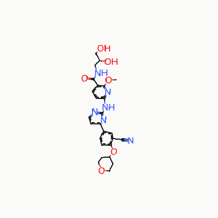 COc1nc(Nc2nccc(-c3ccc(OC4CCOCC4)c(C#N)c3)n2)ccc1C(=O)NCC(O)CO